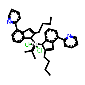 CCCCC1=Cc2c(-c3ccccn3)cccc2[CH]1[Zr]([Cl])([Cl])(=[C](C)C)[CH]1C(CCCC)=Cc2c(-c3ccccn3)cccc21